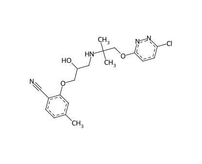 Cc1ccc(C#N)c(OCC(O)CNC(C)(C)COc2ccc(Cl)nn2)c1